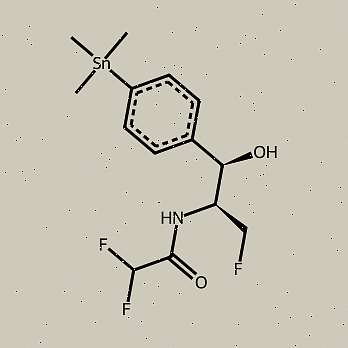 [CH3][Sn]([CH3])([CH3])[c]1ccc([C@@H](O)[C@@H](CF)NC(=O)C(F)F)cc1